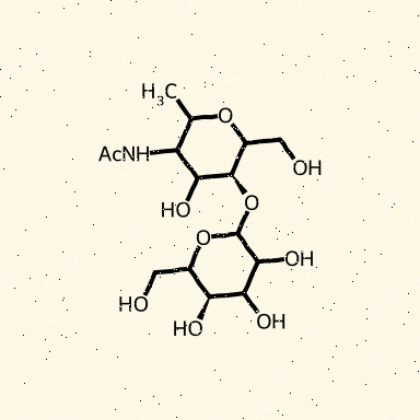 CC(=O)NC1C(C)OC(CO)[C@@H](OC2OC(CO)[C@H](O)C(O)C2O)C1O